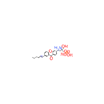 CCCC/C=C/c1ccc2oc3cc(CCC(N)(CO)COP(=O)(O)O)ccc3c(=O)c2c1